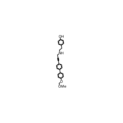 COCOc1ccc(-c2ccc(C#CCNCCc3ccc(O)cc3)cc2)cc1